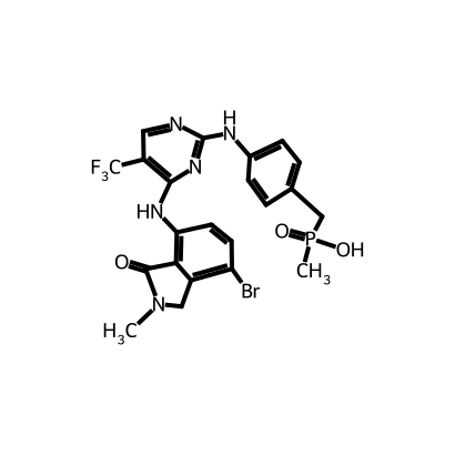 CN1Cc2c(Br)ccc(Nc3nc(Nc4ccc(CP(C)(=O)O)cc4)ncc3C(F)(F)F)c2C1=O